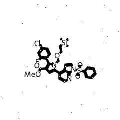 COC(=O)c1cc(-c2ccnc3c2ccn3S(=O)(=O)c2ccccc2)n(COCC[Si](C)(C)C)c1-c1ccc(Cl)cc1F